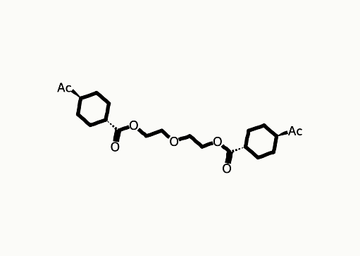 CC(=O)[C@H]1CC[C@H](C(=O)OCCOCCOC(=O)[C@H]2CC[C@H](C(C)=O)CC2)CC1